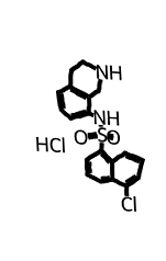 Cl.O=S(=O)(Nc1cccc2c1CNCC2)c1cccc2c(Cl)cccc12